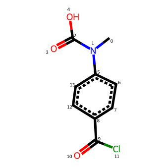 CN(C(=O)O)c1ccc(C(=O)Cl)cc1